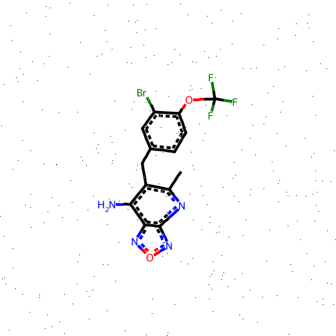 Cc1nc2nonc2c(N)c1Cc1ccc(OC(F)(F)F)c(Br)c1